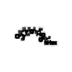 CCCCCCC(C)C(=O)OC1CC(COCc2ccc(Cl)c(C)c2)C1